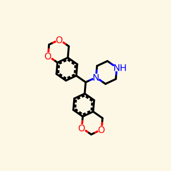 c1cc2c(cc1C(c1ccc3c(c1)COCO3)N1CCNCC1)COCO2